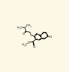 COC(=O)c1cc2cc(Cl)ccc2cc1OCC(=O)N(C)C